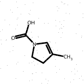 CC1=CN(C(=O)O)CC1